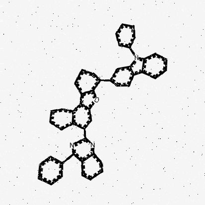 c1ccc(-c2nc(-c3cc4oc5c(-c6ccc7c8ccccc8n(-c8ccccc8)c7c6)cccc5c4c4ccccc34)nc3ccccc23)cc1